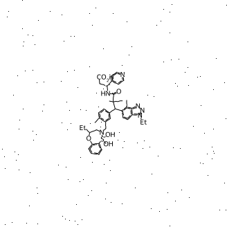 CCC1CN(Cc2cc(C(c3ccc4c(nnn4CC)c3C)C(C)(C)C(=O)NC(CC(=O)O)c3ccncc3)ccc2C)S(O)(O)c2ccccc2O1